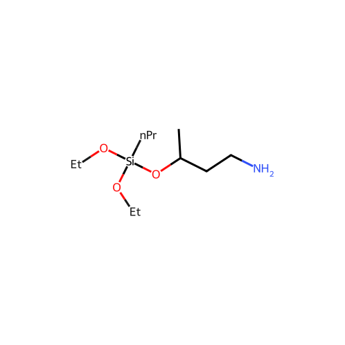 CCC[Si](OCC)(OCC)OC(C)CCN